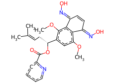 COc1cc([C@@H](CC=C(C)C)OC(=O)c2ccccn2)c(OC)c2c1/C(=N/O)C=C/C2=N\O